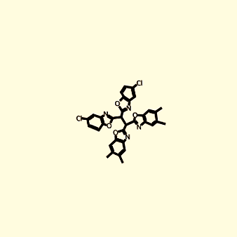 Cc1cc2nc(C(c3nc4cc(C)c(C)cc4o3)C(c3nc4cc(Cl)ccc4o3)c3nc4cc(Cl)ccc4o3)oc2cc1C